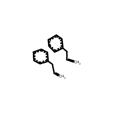 C=CCc1ccccc1.C=CCc1ccccc1